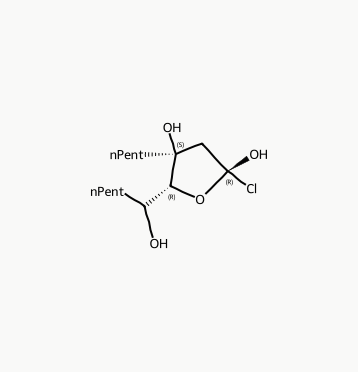 CCCCCC(O)[C@H]1O[C@@](O)(Cl)C[C@@]1(O)CCCCC